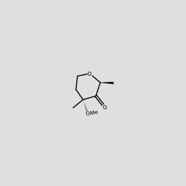 CO[C@]1(C)CCO[C@@H](C)C1=O